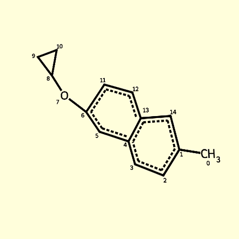 Cc1ccc2cc(OC3CC3)ccc2c1